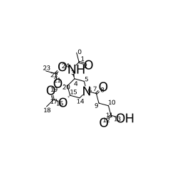 CC(=O)N[C@H]1CN(C(=O)CCC(=O)O)C[C@H](OC(C)=O)[C@@H]1OC(C)=O